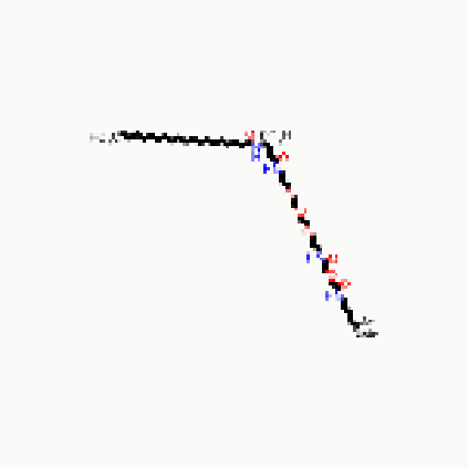 CN[C@@H](CCCCNC(=O)COCC(=O)NCCCOCCOCCOCCCNC(=O)CC[C@H](NC(=O)CCCCCCCCCCCCCCCCCCC(=O)O)C(=O)O)C(C)=O